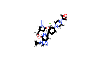 C[C@@H](Oc1nc(-c2ccc(N3CCN(C4COC4)CC3)c(F)c2)cc2ncn(C3CC3)c12)C1CNC(=O)C1